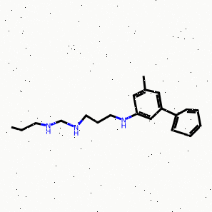 CCCNCNCCCNc1cc(C)cc(-c2ccccc2)c1